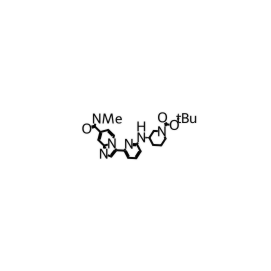 CNC(=O)c1ccn2c(-c3cccc(N[C@@H]4CCCN(C(=O)OC(C)(C)C)C4)n3)cnc2c1